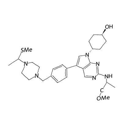 COCC(C)Nc1ncc2c(-c3ccc(CN4CCN(C(C)SC)CC4)cc3)cn([C@H]3CC[C@H](O)CC3)c2n1